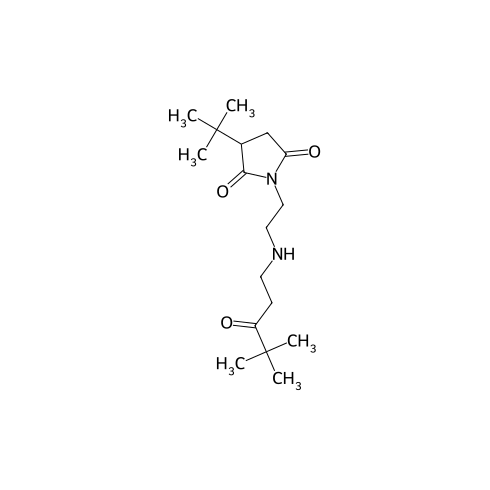 CC(C)(C)C(=O)CCNCCN1C(=O)CC(C(C)(C)C)C1=O